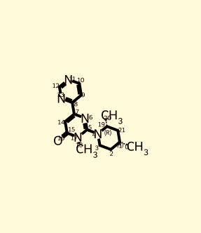 C[C@@H]1CCN(c2nc(-c3ccncn3)cc(=O)n2C)[C@H](C)C1